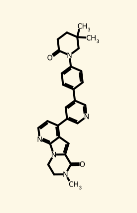 CN1CCn2c(cc3c(-c4cncc(-c5ccc(N6CC(C)(C)CCC6=O)cc5)c4)ccnc32)C1=O